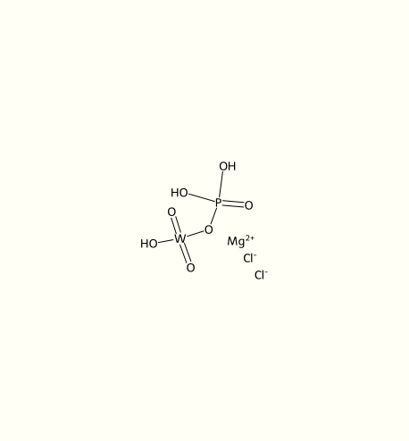 O=P(O)(O)[O][W](=[O])(=[O])[OH].[Cl-].[Cl-].[Mg+2]